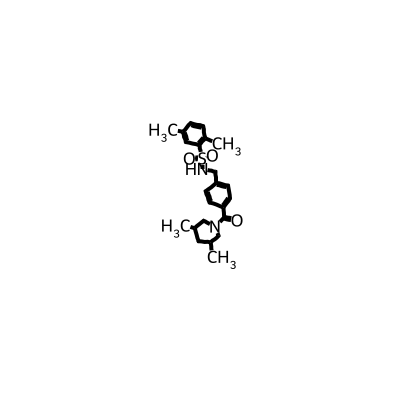 Cc1ccc(C)c(S(=O)(=O)NCc2ccc(C(=O)N3CC(C)CC(C)C3)cc2)c1